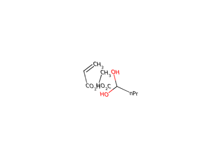 C=CC(=O)O.CC(=O)O.CCCC(O)O